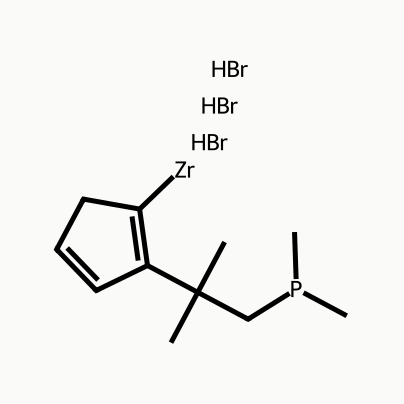 Br.Br.Br.CP(C)CC(C)(C)C1=[C]([Zr])CC=C1